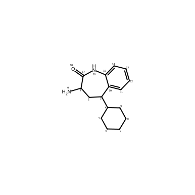 NC1CC(C2CCCCC2)c2ccccc2NC1=O